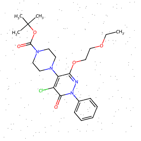 CCOCCOc1nn(-c2ccccc2)c(=O)c(Cl)c1N1CCN(C(=O)OC(C)(C)C)CC1